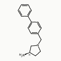 N[C@@H]1CCN(Cc2ccc(-c3ccccc3)cc2)C1